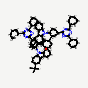 CC(C)(C)c1ccc2c(c1)c1ccccc1n2-c1ccc(-c2nc(-c3ccccc3)nc(-c3ccccc3)n2)cc1-c1cccc(-c2cc(-c3nc(-c4ccccc4)nc(-c4ccccc4)n3)ccc2-n2c3ccccc3c3cc(C(C)(C)C)ccc32)c1